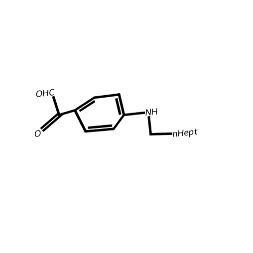 CCCCCCCCNc1ccc(C(=O)C=O)cc1